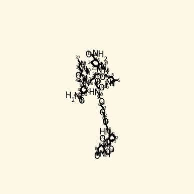 CCn1nc(C)cc1C(=O)N=c1n(C)c2cc(C(N)=O)ccc2n1CCC(CCn1c(=NC(=O)c2cc(C)nn2CC)n(C)c2cc(C(N)=O)ccc21)OCC(=O)NCCOCCOCCOCCNc1cccc2c1C(=O)N(C1CCC(=O)NC1=O)C2=O